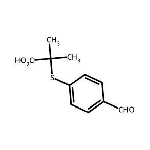 CC(C)(Sc1ccc(C=O)cc1)C(=O)O